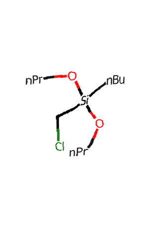 CCCC[Si](CCl)(OCCC)OCCC